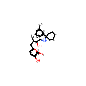 CC(=O)NC(Cc1ccc(O)c(=O)o1)C(O)CNC1(c2cccc(C(C)C)c2)CCCCC1